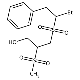 CCC(Cc1ccccc1)S(=O)(=O)CC(CO)S(C)(=O)=O